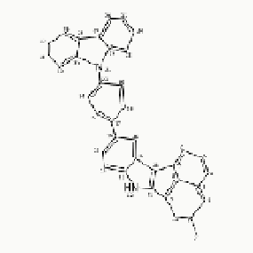 CC1C=c2cccc3c2=C(C1)c1[nH]c2ccc(-c4ccc(-n5c6ccccc6c6ccccc65)cc4)cc2c1-3